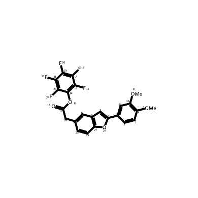 COc1ccc(-c2cc3cc(CC(=O)Oc4c(F)c(F)c(F)c(F)c4F)ccc3o2)cc1OC